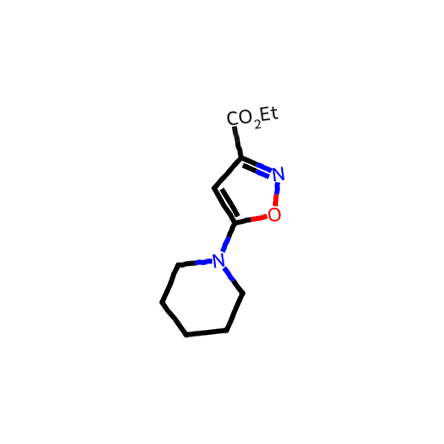 CCOC(=O)c1cc(N2CCCCC2)on1